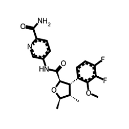 COc1c([C@@H]2[C@H](C)[C@@H](C)O[C@H]2C(=O)Nc2ccc(C(N)=O)nc2)ccc(F)c1F